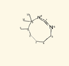 CC1CCCCN=C=NC1(C)C